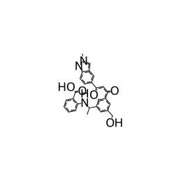 CC(Nc1ccccc1C(=O)O)c1cc(CO)cc2c(=O)cc(-c3ccc4nn(C)cc4c3)oc12